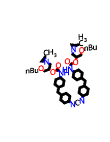 CCCCOCC(CN1CC1C)OC(=O)NC1CCC(CC2CCC(N=C=NC3CCC(CC4CCC(NC(=O)OC(COCCCC)CN5CC5C)CC4)CC3)CC2)CC1